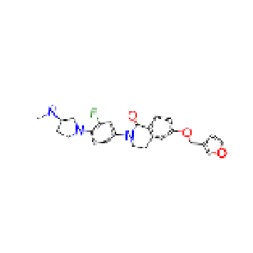 CN(C)[C@@H]1CCN(c2ccc(N3CCc4cc(OCc5ccoc5)ccc4C3=O)cc2F)C1